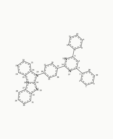 c1ccc(-c2cc(-c3ccccc3)nc(-c3ccc(-n4c5ccccc5n5c6ccccc6nc45)cc3)n2)cc1